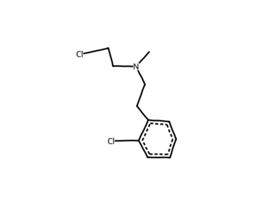 CN(CCCl)CCc1ccccc1Cl